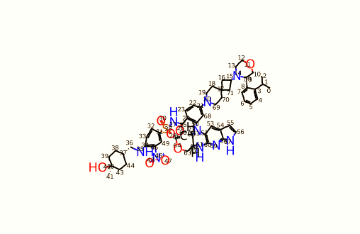 CC(C)c1ccccc1[C@@H]1COCCN1C1CC2(CCN(c3ccc(C(=O)NS(=O)(=O)c4ccc(NC[C@H]5CC[C@](C)(O)CC5)c([N+](=O)[O-])c4)c(N4c5cc6cc[nH]c6nc5N[C@H]5COCC[C@@H]54)c3)CC2)C1